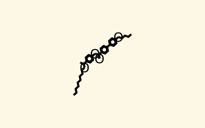 CCCCCCCCCOC(C)c1ccc(OC(=O)c2ccc(-c3ccc(OCCCC)cc3)cc2)cc1